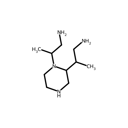 CC(CN)C1CNCCN1C(C)CN